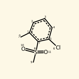 [CH2]c1cccc(Cl)c1S(C)(=O)=O